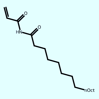 C=CC(=O)NC(=O)CCCCCCCCCCCCCCC